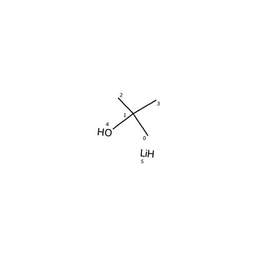 CC(C)(C)O.[LiH]